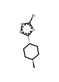 CCc1nnc([C@H]2CC[C@H](C)CC2)o1